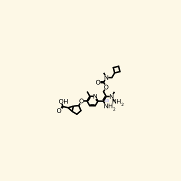 Cc1nc(/C(N)=C(\COC(=O)N(C)CC2CCC2)N(C)N)ccc1OC1CCC2C(C(=O)O)C12